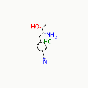 C[C@H](O)[C@H](N)Cc1ccc(C#N)cc1.Cl